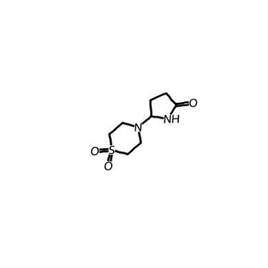 O=C1CCC(N2CCS(=O)(=O)CC2)N1